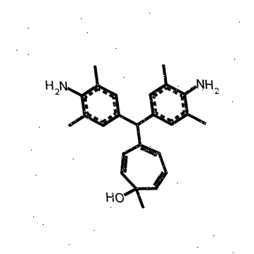 Cc1cc(C(C2=CC=CC(C)(O)C=C2)c2cc(C)c(N)c(C)c2)cc(C)c1N